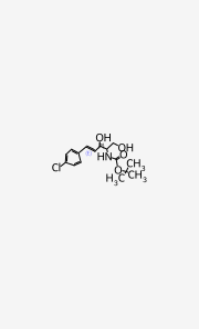 CC(C)(C)OC(=O)NC(CO)[C@H](O)/C=C/c1ccc(Cl)cc1